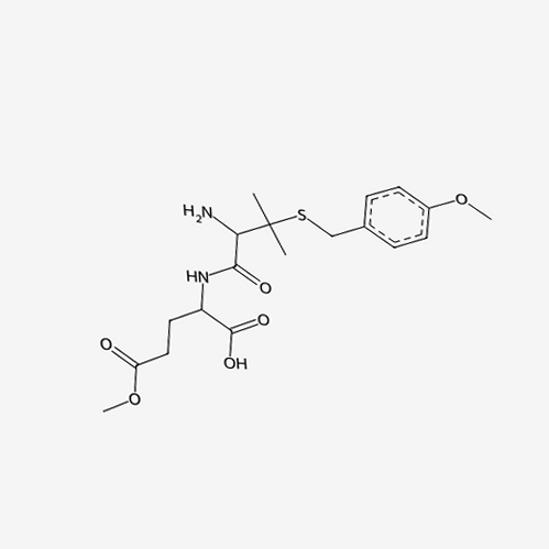 COC(=O)CCC(NC(=O)C(N)C(C)(C)SCc1ccc(OC)cc1)C(=O)O